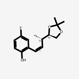 C[C@@H](/C=C\c1cc(F)ccc1O)[C@@H]1COC(C)(C)O1